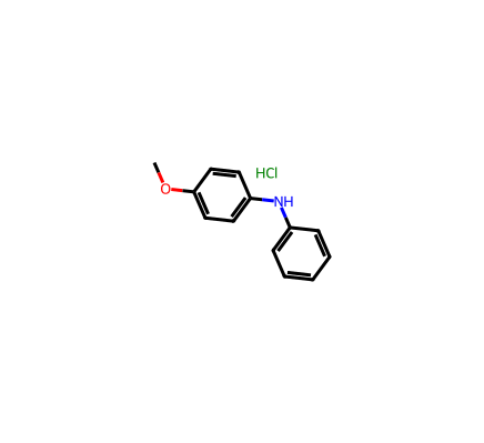 COc1ccc(Nc2ccccc2)cc1.Cl